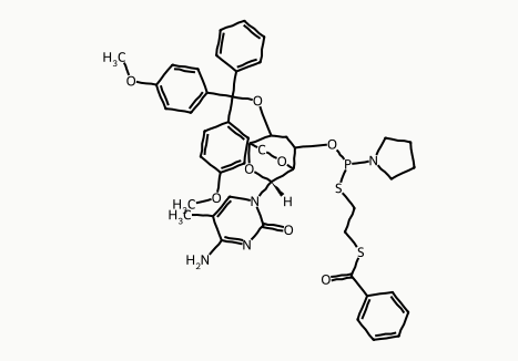 COc1ccc(C(OC2CC(OP(SCCSC(=O)c3ccccc3)N3CCCC3)C3OCC2O[C@H]3n2cc(C)c(N)nc2=O)(c2ccccc2)c2ccc(OC)cc2)cc1